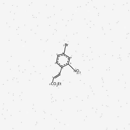 CCOC(=O)/C=C/c1ccc(Br)cc1[N+](=O)[O-]